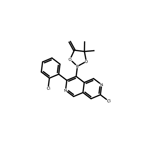 C=C1OB(c2c(-c3ccccc3Cl)ncc3cc(Cl)ncc23)OC1(C)C